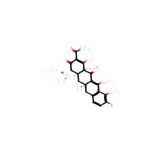 CN(C)[C@@H]1C(=O)C(C(N)=O)=C(O)[C@@]2(O)C(=O)C3=C(O)c4c(ccc(Cl)c4O)C[C@H]3C[C@@H]12